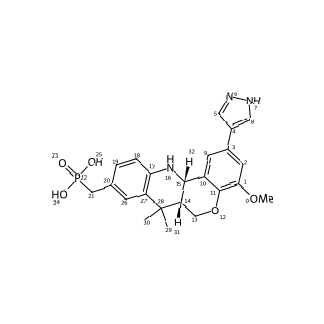 COc1cc(-c2cn[nH]c2)cc2c1OC[C@H]1[C@@H]2Nc2ccc(CP(=O)(O)O)cc2C1(C)C